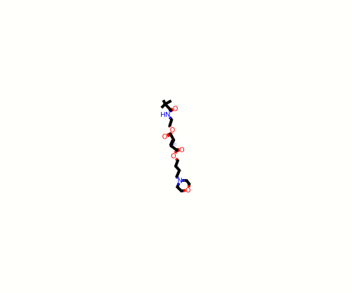 CC(C)(C)C(=O)NCCOC(=O)/C=C/C(=O)OCCCCN1CCOCC1